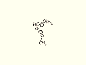 CCCCOc1ccc(C(=O)c2ccc(OC)cc2O)cc1